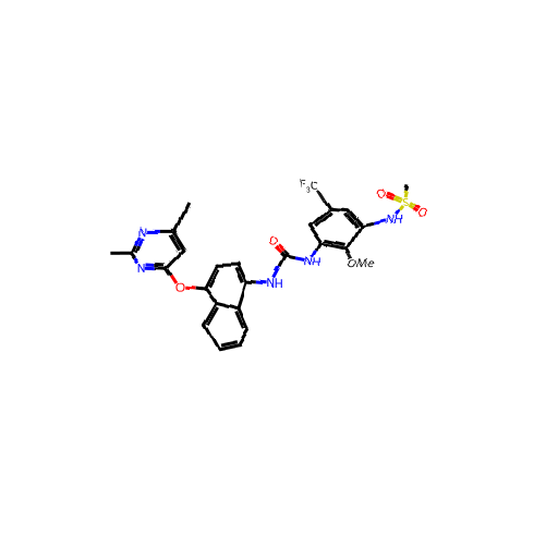 COc1c(NC(=O)Nc2ccc(Oc3cc(C)nc(C)n3)c3ccccc23)cc(C(F)(F)F)cc1NS(C)(=O)=O